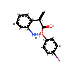 C=C(C(=O)Oc1ccc(I)cc1)c1ccccc1N